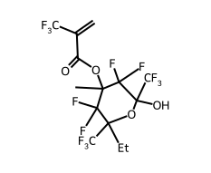 C=C(C(=O)OC1(C)C(F)(F)C(O)(C(F)(F)F)OC(CC)(C(F)(F)F)C1(F)F)C(F)(F)F